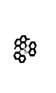 Cc1ccc2ccc(C)c3c2c1[C@H](c1cccc2ccccc12)N(O)[C@H]3c1cccc2ccccc12